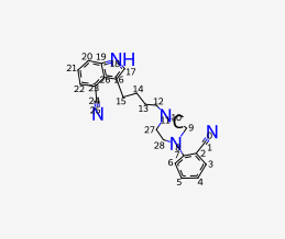 N#Cc1ccccc1N1CCN(CCCCc2c[nH]c3cccc(C#N)c23)CC1